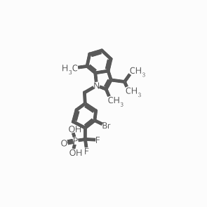 Cc1cccc2c(C(C)C)c(C)n(Cc3ccc(C(F)(F)P(=O)(O)O)c(Br)c3)c12